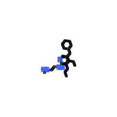 CCCc1c(NCCNC)ncc(CC2CCCCC2)c1CC